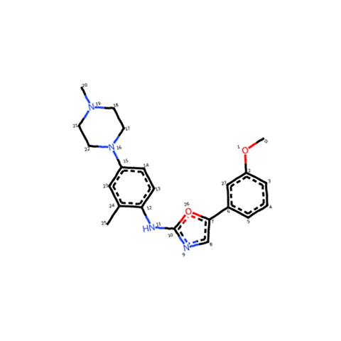 COc1cccc(-c2cnc(Nc3ccc(N4CCN(C)CC4)cc3C)o2)c1